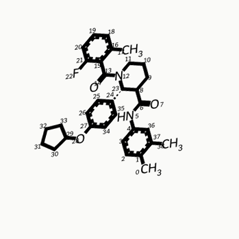 Cc1ccc(NC(=O)C2CCCN(C(=O)c3c(C)cccc3F)[C@H]2c2ccc(OC3CCCC3)cc2)cc1C